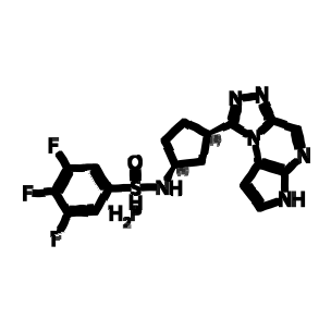 O=[SH](P)(N[C@H]1CC[C@@H](c2nnc3cnc4[nH]ccc4n23)C1)c1cc(F)c(F)c(F)c1